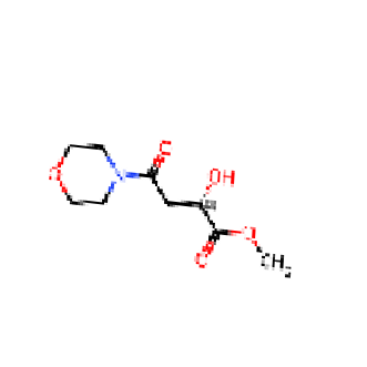 COC(=O)[C@@H](O)CC(=O)N1CCOCC1